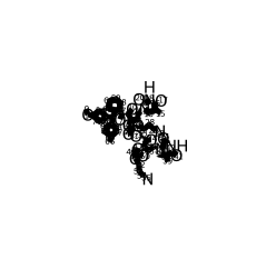 COc1ccc(C(OC[C@H]2O[C@@H](n3cc(C)c(=O)[nH]c3=O)CC2OP(=O)(OCCC#N)OC[C@H]2O[C@@H](n3cc(C)c(=O)[nH]c3=O)CC2OP(C)(=O)OCCC#N)(c2ccccc2)c2ccc(C)cc2)cc1